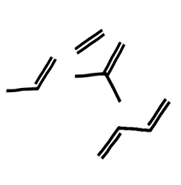 C=C.C=C(C)C.C=CC.C=CC=C